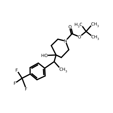 CC(c1ccc(C(F)(F)F)cc1)C1(O)CCN(C(=O)OC(C)(C)C)CC1